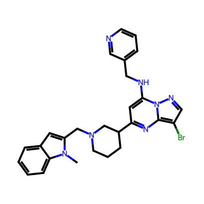 Cn1c(CN2CCCC(c3cc(NCc4cccnc4)n4ncc(Br)c4n3)C2)cc2ccccc21